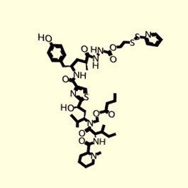 CCCC(=O)OCN(C(=O)[C@@H](NC(=O)C1CCCCN1C)C(C)CC)[C@H](C[C@@H](O)c1nc(C(=O)N[C@@H](Cc2ccc(O)cc2)C[C@H](C)C(=O)NNC(=O)OCCSSc2ccccn2)cs1)C(C)C